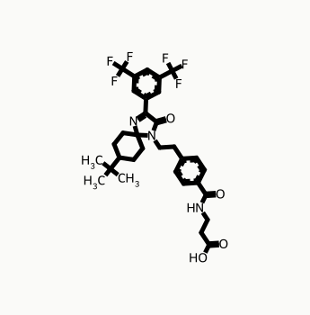 CC(C)(C)C1CCC2(CC1)N=C(c1cc(C(F)(F)F)cc(C(F)(F)F)c1)C(=O)N2CCc1ccc(C(=O)NCCC(=O)O)cc1